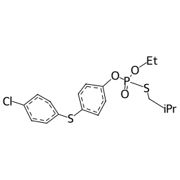 CCOP(=O)(Oc1ccc(Sc2ccc(Cl)cc2)cc1)SCC(C)C